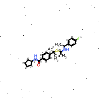 C=C(N[C@@H](C)c1ccc(F)cc1)SC(C)(C(C)=O)c1ccc(C(=O)NC2CCCC2)cc1